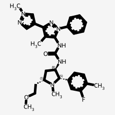 COCC[C@@H]1C[C@@H](NC(=O)Nc2c(C)c(-c3cnn(C)c3)nn2-c2ccccc2)[C@H](c2ccc(C)c(F)c2)N1C